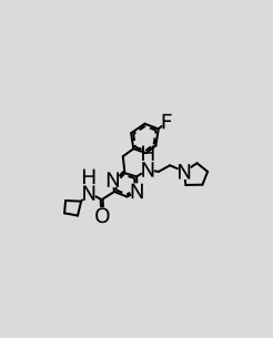 O=C(NC1CCC1)c1cnc(NCCN2CCCC2)c(Cc2ccc(F)cc2)n1